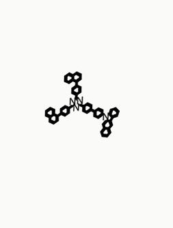 c1ccc2cc3c(cc2c1)c1ccccc1n3-c1ccc(-c2ccc(-c3nc(-c4ccc(-c5cccc6ccccc56)cc4)nc(-c4ccc(-c5cccc6ccccc56)cc4)n3)cc2)cc1